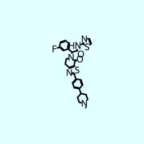 CN1CCC(c2ccc(-c3nc4c(s3)C(=O)N(C(C(=O)Nc3nccs3)c3cccc(F)c3)CC4)cc2)CC1